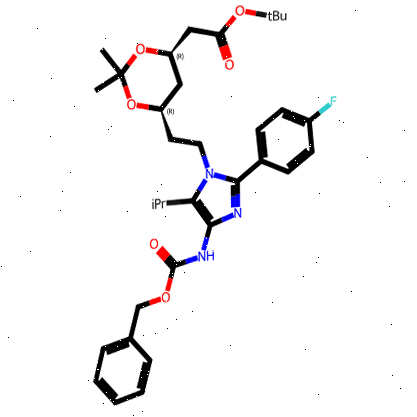 CC(C)c1c(NC(=O)OCc2ccccc2)nc(-c2ccc(F)cc2)n1CC[C@@H]1C[C@H](CC(=O)OC(C)(C)C)OC(C)(C)O1